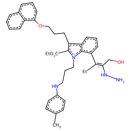 CCOC(=O)c1c(CCCOc2cccc3ccccc23)c2cccc(/C(CC)=C(\CO)NN)c2n1CCCNc1ccc(C)cc1